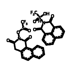 O=C1Cc2ccc3ccccc3c2C(=O)N1OS(=O)C(F)(F)F.O=C1c2cccc3cccc(c23)C(=O)N1[SH](=O)(O)C(F)(F)F